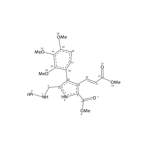 CCCNCc1[nH]c(C(=O)OC)c(C=CC(=O)OC)c1-c1ccc(OC)c(OC)c1OC